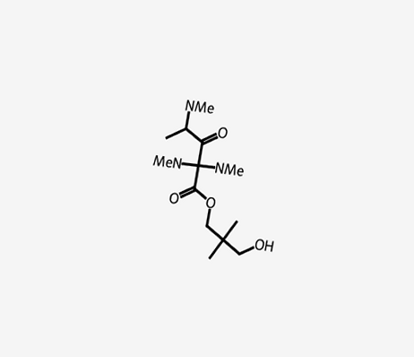 CNC(C)C(=O)C(NC)(NC)C(=O)OCC(C)(C)CO